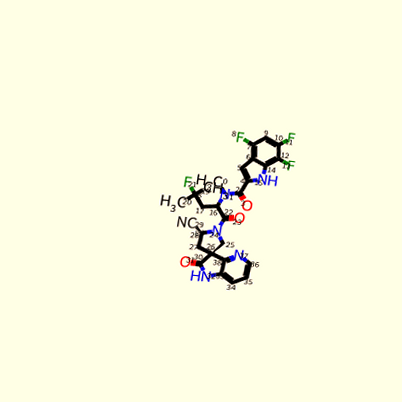 CN(C(=O)c1cc2c(F)cc(F)c(F)c2[nH]1)C(CC(C)(C)F)C(=O)N1C[C@]2(C[C@H]1C#N)C(=O)Nc1cccnc12